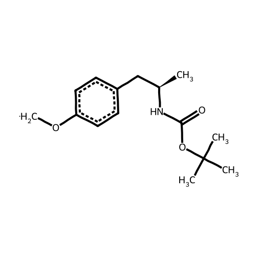 [CH2]Oc1ccc(C[C@@H](C)NC(=O)OC(C)(C)C)cc1